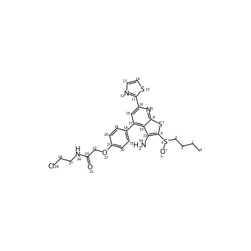 CCCC[S+]([O-])c1sc2nc(-c3nccs3)cc(-c3ccc(OCC(=O)NCCCl)cc3)c2c1N